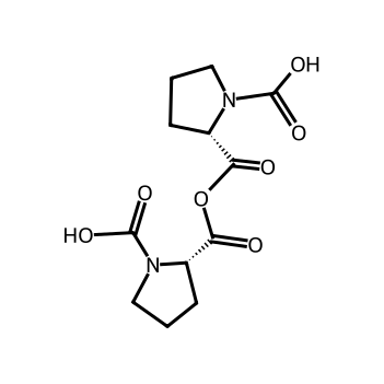 O=C(OC(=O)[C@@H]1CCCN1C(=O)O)[C@@H]1CCCN1C(=O)O